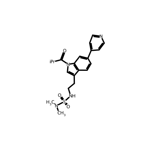 CC(C)C(=O)n1cc(CCNS(=O)(=O)N(C)C)c2ccc(-c3ccncc3)cc21